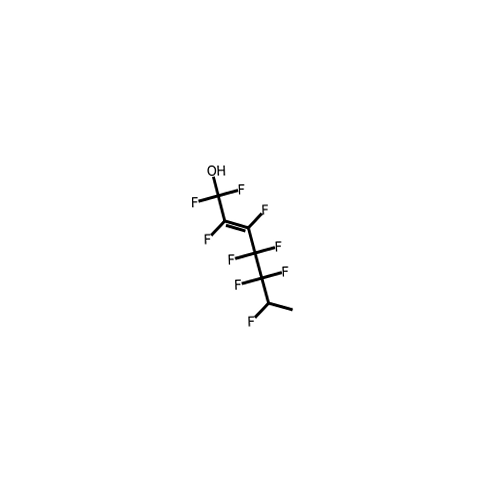 CC(F)C(F)(F)C(F)(F)C(F)=C(F)C(O)(F)F